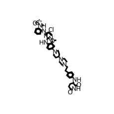 COc1cc(N2CCC(N3CCN(CCc4ccc(NC5CCC(=O)NC5=O)cc4)CC3)CC2)ccc1Nc1ncc(Cl)c(Nc2ccccc2N(C)[S+](C)[O-])n1